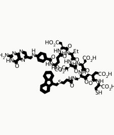 CC[C@H](NC(=O)[C@H](CC(=O)O)NC(=O)CC[C@H](NC(=O)c1ccc(NCc2cnc3nc(N)[nH]c(=O)c3n2)cc1)C(=O)O)C(=O)N[C@@H](CC(=O)O)C(=O)N[C@@H](CC(=O)O)C(=O)N[C@@H](CNC(=O)CCSCC1c2ccccc2-c2ccccc21)C(=O)C[C@@H](CC(=O)O)C(=O)N[C@@H](CS)C(=O)O